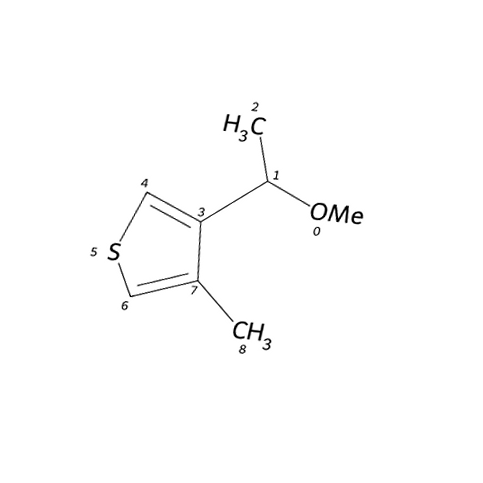 COC(C)c1cscc1C